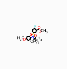 COC(=O)c1cc(S(=O)(=O)N(c2ccc(OC)cc2C)C(C)C)ccc1F